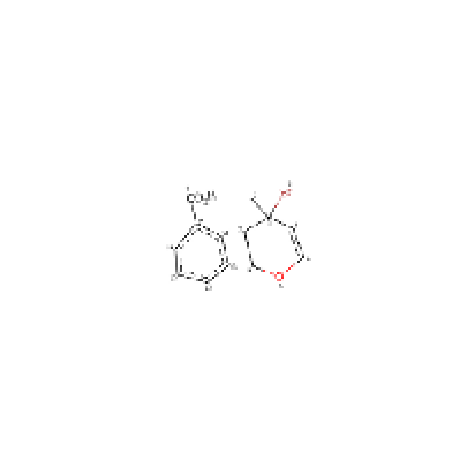 CC1(Br)C=COCC1.O=C(O)c1ccccc1